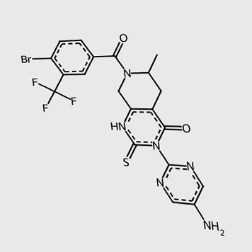 CC1Cc2c([nH]c(=S)n(-c3ncc(N)cn3)c2=O)CN1C(=O)c1ccc(Br)c(C(F)(F)F)c1